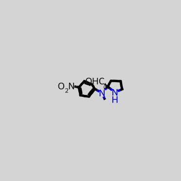 CN(c1ccc([N+](=O)[O-])cc1)[C@]1(C=O)CCCN1